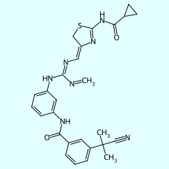 C=N/C(=N\C=C1/CSC(NC(=O)C2CC2)=N1)Nc1cccc(NC(=O)c2cccc(C(C)(C)C#N)c2)c1